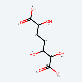 O=C(O)C(O)CCC(O)C(O)C(=O)O